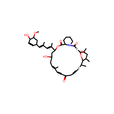 COC1CC(/C=C(C)/C=C(\C)C2CC(O)C/C=C(C)/C=C/C(=O)C/C=C/CC(C)C3OC(O)(CC(=O)N4CCCCC4C(=O)O2)C(C)CC3C)C=CC1O